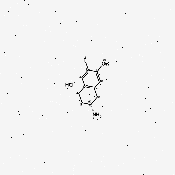 Cl.N[C@@H]1CCc2cc(F)c(O)cc2C1